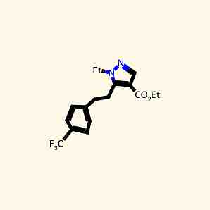 CCOC(=O)c1cnn(CC)c1CCc1ccc(C(F)(F)F)cc1